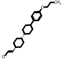 CCCOc1ccc(C2CCC([C@H]3CC[C@H](/C=C/Cl)CC3)CC2)cc1